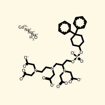 O.O=C([O-])CN(CCN(CC(=O)[O-])CC(COP(=O)([O-])OC1CCC(c2ccccc2)(c2ccccc2)CC1)N(CC(=O)[O-])CC(=O)[O-])CC(=O)[O-].[Gd+3].[Na+].[Na+].[Na+]